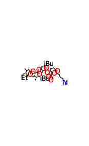 CCC1O[C@H](OC2C(C)[C@H](C)[C@H]([C@@H](C)CC)O[C@@H]2O[C@@H]2C(C)[C@@H](O[C@H]3C([C@H]4COCO4)O[C@](C)(OCCCCCN(C)C)C[C@H]3C)OC([C@@H](C)CC)[C@H]2C)[C@H](C)C(C)[C@@H]1C